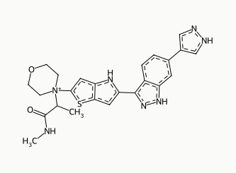 CNC(=O)C(C)[N+]1(c2cc3[nH]c(-c4n[nH]c5cc(-c6cn[nH]c6)ccc45)cc3s2)CCOCC1